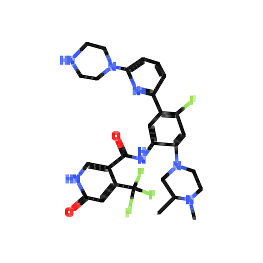 CC1CN(c2cc(F)c(-c3cccc(N4CCNCC4)n3)cc2NC(=O)c2c[nH]c(=O)cc2C(F)(F)F)CCN1C